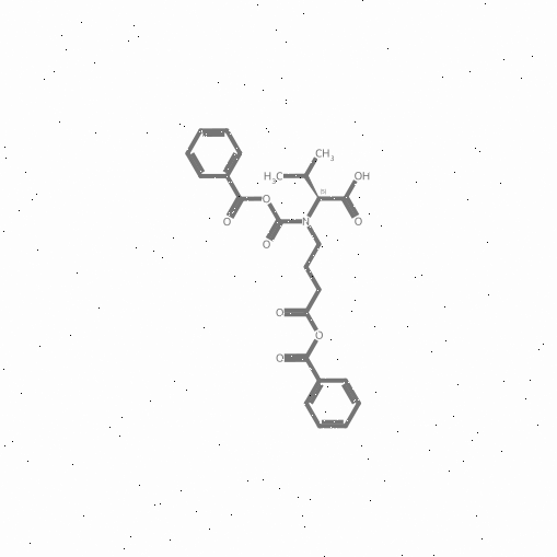 CC(C)[C@@H](C(=O)O)N(CCCC(=O)OC(=O)c1ccccc1)C(=O)OC(=O)c1ccccc1